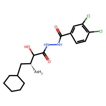 O=C(NNC(=O)C(O)[C@H]([AsH2])CC1CCCCC1)c1ccc(Cl)c(Cl)c1